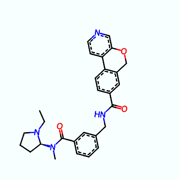 CCN1CCC[C@@H]1N(C)C(=O)c1cccc(CNC(=O)c2ccc3c(c2)COc2cnccc2-3)c1